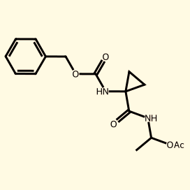 CC(=O)OC(C)NC(=O)C1(NC(=O)OCc2ccccc2)CC1